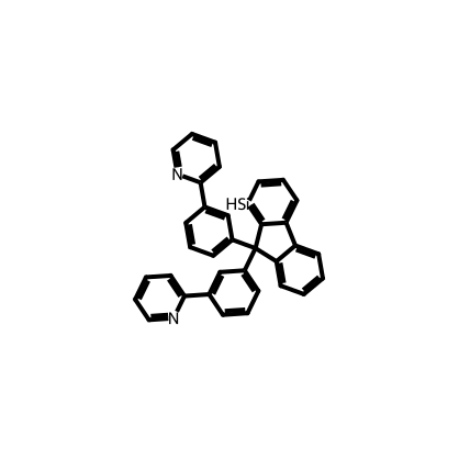 c1ccc(-c2cccc(C3(c4cccc(-c5ccccn5)c4)c4ccccc4-c4ccc[siH]c43)c2)nc1